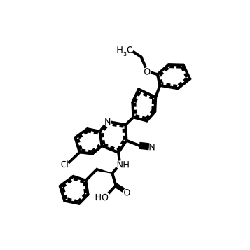 CCOc1ccccc1-c1ccc(-c2nc3ccc(Cl)cc3c(N[C@H](Cc3ccccc3)C(=O)O)c2C#N)cc1